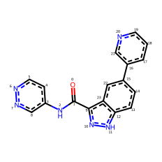 O=C(Nc1ccnnc1)c1n[nH]c2ccc(-c3cccnc3)cc12